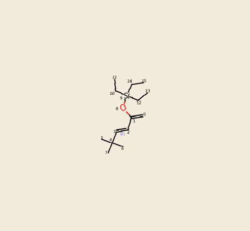 C=C(/C=C/C(C)(C)C)O[Si](CC)(CC)CC